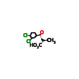 C[C@@H]1[C@@H](C(=O)c2ccc(Cl)c(Cl)c2)[C@H]1C(=O)O